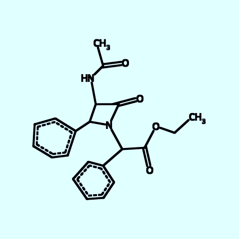 CCOC(=O)C(c1ccccc1)N1C(=O)C(NC(C)=O)C1c1ccccc1